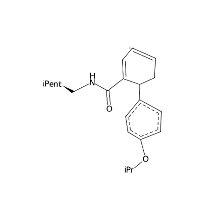 CCC[C@H](C)CNC(=O)C1=C[C]=CCC1c1ccc(OC(C)C)cc1